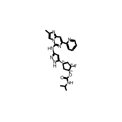 Cc1cn2c(Nc3cc([C@H]4C[C@@H](F)[C@@H](OC(=O)NC(C)C)C4)[nH]n3)nc(-c3ccccn3)cc2n1